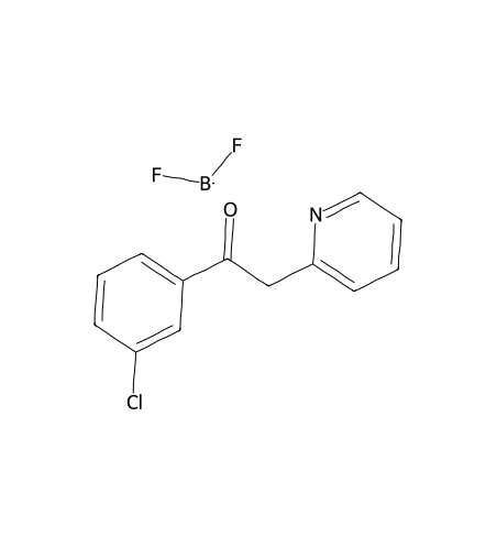 F[B]F.O=C(Cc1ccccn1)c1cccc(Cl)c1